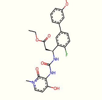 CCOC(=O)C[C@H](NC(=O)Nc1c(O)ccn(C)c1=O)c1cc(-c2cccc(OC)c2)ccc1F